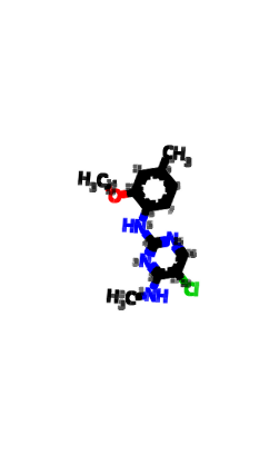 CNc1nc(Nc2ccc(C)cc2OC)ncc1Cl